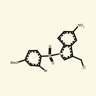 COc1ccc(S(=O)(=O)n2cc(CCl)c3cc([N+](=O)[O-])ccc32)c(Br)c1